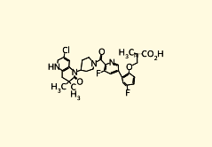 C[C@@H](COc1ccc(F)cc1-c1cnc(C(=O)N2CCC(N3C(=O)C(C)(C)CC4=C3C=C(Cl)CN4)CC2)c(F)c1)C(=O)O